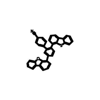 N#Cc1ccc(-c2cc(-c3cccc4c3oc3ccccc34)ccc2-c2cccc3c2sc2ccccc23)cc1